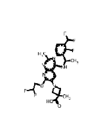 Cc1nc(N[C@H](C)c2cccc(C(F)F)c2F)c2cc(N3CC(C)(C(=O)O)C3)c(OCC(F)F)nc2n1